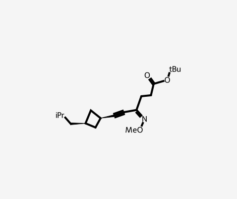 CO/N=C(\C#C[C@H]1C[C@@H](CC(C)C)C1)CCC(=O)OC(C)(C)C